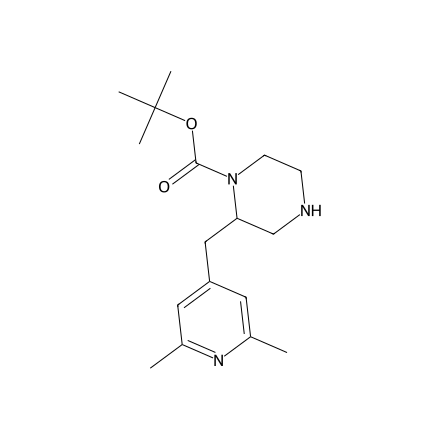 Cc1cc(CC2CNCCN2C(=O)OC(C)(C)C)cc(C)n1